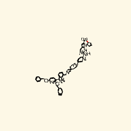 CN(C)C(=O)c1cc2cnc(Nc3ccc(N4CCC5(CC4)CN(Cc4cccc6c(-c7ccc(OCc8ccccc8)nc7OCc7ccccc7)nn(C)c46)C5)cn3)nc2n1C1CCCC1